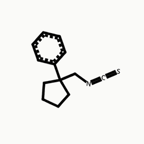 S=C=NCC1(c2ccccc2)CCCC1